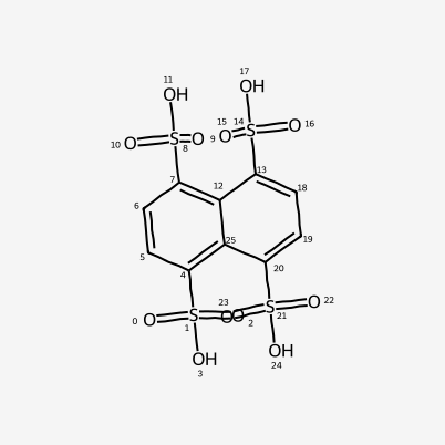 O=S(=O)(O)c1ccc(S(=O)(=O)O)c2c(S(=O)(=O)O)ccc(S(=O)(=O)O)c12